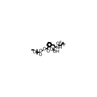 CCOC(C)(C)C(=O)OCOC(=O)c1cccc2c1OB(O)C(NC(=O)CC(C)(F)F)C2